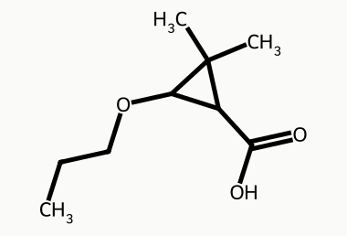 CCCOC1C(C(=O)O)C1(C)C